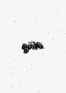 Cc1c(C(=O)Nc2ccc(Oc3ccnn4ccc(-c5cncnc5)c34)c(F)c2)c(=O)n(-c2ccc(F)cc2)n1C